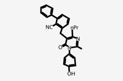 CCCc1nc(C)n(-c2ccc(O)cc2)c(=O)c1Cc1cccc(-c2ccccc2)c1C#N